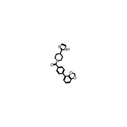 O=C(c1ccc(-c2cccc3c2OCO3)cc1)N1CCC(c2ncc[nH]2)CC1